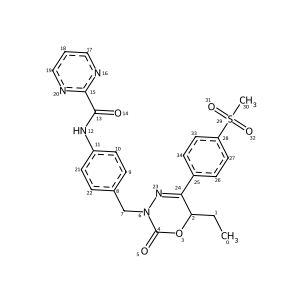 CCC1OC(=O)N(Cc2ccc(NC(=O)c3ncccn3)cc2)N=C1c1ccc(S(C)(=O)=O)cc1